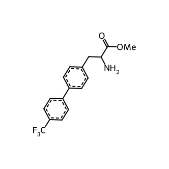 COC(=O)C(N)Cc1ccc(-c2ccc(C(F)(F)F)cc2)cc1